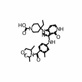 CCC1(n2nc(Nc3ccc(C(=O)N4C(C)COCC4C)c(C)c3)c3c(=O)[nH]ccc32)CCN(C(=O)O)CC1